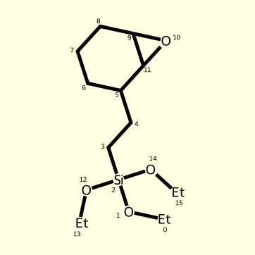 CCO[Si](CCC1CCCC2OC12)(OCC)OCC